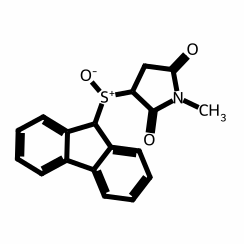 CN1C(=O)CC([S+]([O-])C2c3ccccc3-c3ccccc32)C1=O